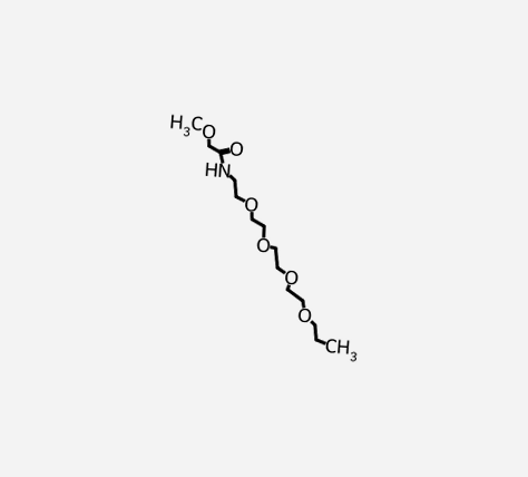 CCCOCCOCCOCCOCCNC(=O)COC